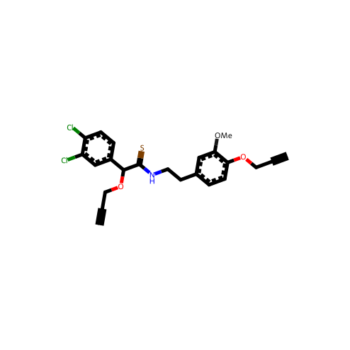 C#CCOc1ccc(CCNC(=S)C(OCC#C)c2ccc(Cl)c(Cl)c2)cc1OC